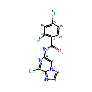 O=C(Nc1cn2ccnc2c(Cl)n1)c1ccc(Cl)cc1F